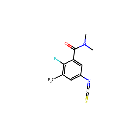 CN(C)C(=O)c1cc(N=C=S)cc(C(F)(F)F)c1F